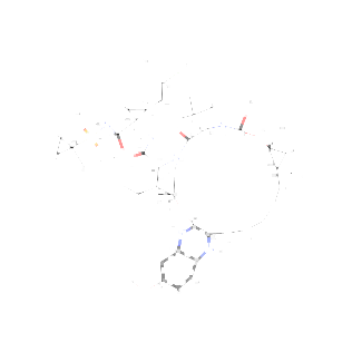 CC[C@@H]1[C@@H]2CN(C(=O)[C@H](C(C)(C)C)NC(=O)O[C@@H]3C[C@H]3CCCCCc3nc4ccc(OC)cc4nc3O2)[C@@H]1C(=O)N[C@]1(C(=O)NS(=O)(=O)C2(C)CC2)C[C@H]1CC(F)F